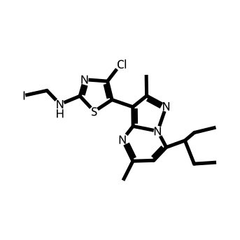 CCC(CC)c1cc(C)nc2c(-c3sc(NCI)nc3Cl)c(C)nn12